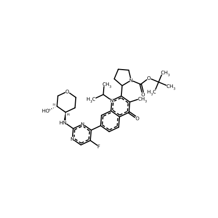 Cc1c(C2CCCN2C(=O)OC(C)(C)C)n(C(C)C)c2cc(-c3nc(N[C@@H]4CCOC[C@H]4O)ncc3F)ccc2c1=O